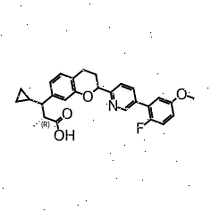 COc1ccc(F)c(-c2ccc(C3CCc4ccc(C(C5CC5)[C@@H](C)C(=O)O)cc4O3)nc2)c1